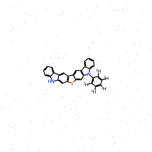 [2H]c1c([2H])c([2H])c(-n2c3ccccc3c3cc4c(cc32)sc2cc3[nH]c5ccccc5c3cc24)c([2H])c1[2H]